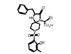 CCC(C(=O)O)N1C(=O)C(Cc2ccccc2)NC12CCN(S(=O)(=O)c1cccc(C)c1O)CC2